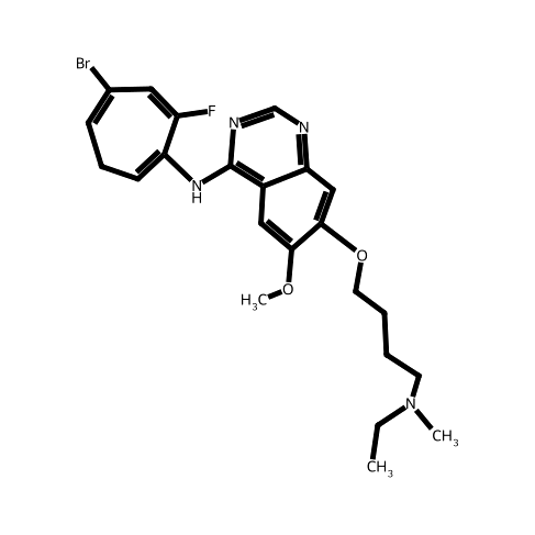 CCN(C)CCCCOc1cc2ncnc(NC3=CCC=C(Br)C=C3F)c2cc1OC